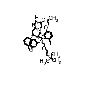 C=CCOc1ccc(I)cc1[C@H]1N2CC(=O)NN=C2C[C@@H](c2cccc(Cl)c2)[C@]12C(=O)N(COCC[Si](C)(C)C)c1cc(Cl)ccc12